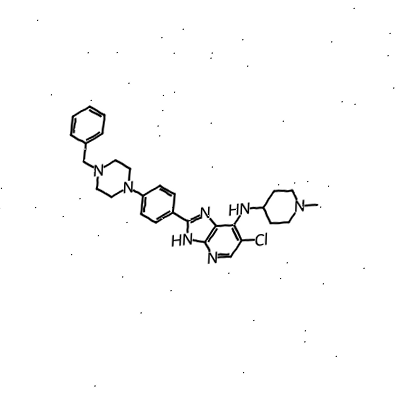 CN1CCC(Nc2c(Cl)cnc3[nH]c(-c4ccc(N5CCN(Cc6ccccc6)CC5)cc4)nc23)CC1